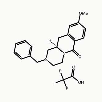 COc1ccc2c(c1)C[C@@H]1CN(Cc3ccccc3)CCN1C2=O.O=C(O)C(F)(F)F